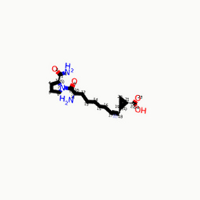 NC(=O)[C@@H]1CCCN1C(=O)[C@@H](N)CCCCC/C=C\[C@@H]1C[C@@H]1C(=O)O